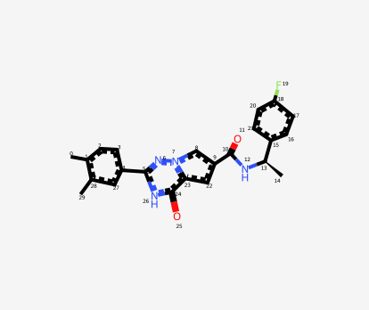 Cc1ccc(-c2nn3cc(C(=O)N[C@H](C)c4ccc(F)cc4)cc3c(=O)[nH]2)cc1C